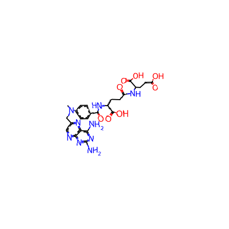 CN(Cc1cnc2nc(N)nc(N)c2n1)c1ccc(C(=O)NC(CCC(=O)NC(CCC(=O)O)C(=O)O)C(=O)O)cc1